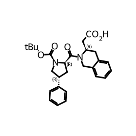 CC(C)(C)OC(=O)N1C[C@@H](c2ccccc2)C[C@@H]1C(=O)N1Cc2ccccc2C[C@@H]1CC(=O)O